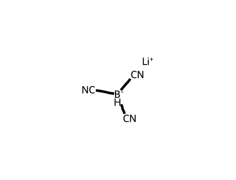 N#C[BH-](C#N)C#N.[Li+]